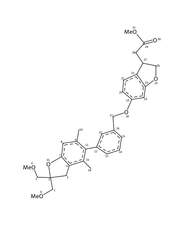 COCC1(COC)Cc2c(cc(C)c(-c3cccc(COc4ccc5c(c4)OCC5CC(=O)OC)c3)c2C)O1